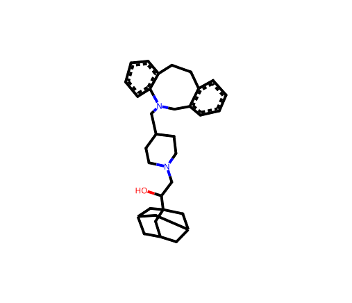 OC(CN1CCC(CN2Cc3ccccc3CCc3ccccc32)CC1)C12CC3CC(CC(C3)C1)C2